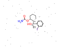 CC[C@@](O)(c1ccccc1I)[C@H]1CCCCC1OC(N)=O